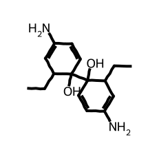 CCC1C=C(N)C=CC1(O)C1(O)C=CC(N)=CC1CC